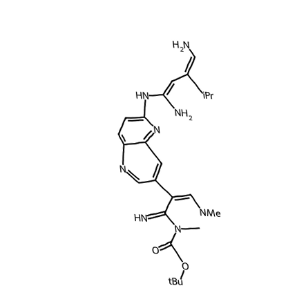 CN/C=C(\C(=N)N(C)C(=O)OC(C)(C)C)c1cnc2ccc(N/C(N)=C/C(=C\N)C(C)C)nc2c1